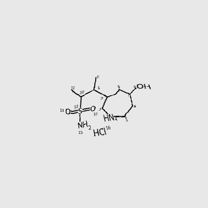 CC(C1CNCCC(O)C1)C(C)S(N)(=O)=O.Cl